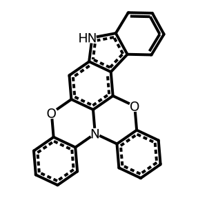 C1=C=Cc2c([nH]c3cc4c5c(c23)Oc2ccccc2N5c2ccccc2O4)C=1